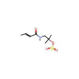 CC=CC(=O)NCC(C)(C)O[SH](=O)=O